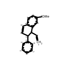 C=CC1c2cc(OC)ccc2C=CC1c1ccccc1